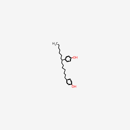 CCCCCCCC(CCCCCCCc1ccc(O)cc1)c1ccc(O)cc1